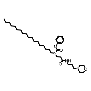 CCCCCCCCCCCCCCCCCCN(CCC(=O)NCCCN1CCOCC1)C(=O)Oc1ccccc1